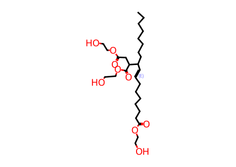 CCCCCCCCC(/C=C/CCCCCCC(=O)OCCO)C(CC(=O)OCCO)C(=O)OCCO